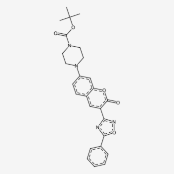 CC(C)(C)OC(=O)N1CCN(c2ccc3cc(-c4noc(-c5ccccc5)n4)c(=O)oc3c2)CC1